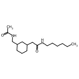 CCCCCCNC(=O)CC1CCCC(CNC(C)=O)C1